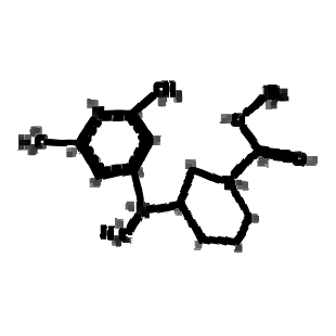 Cc1cc(N(C)C2CCCN(C(=O)OC(C)(C)C)C2)cc(C)n1